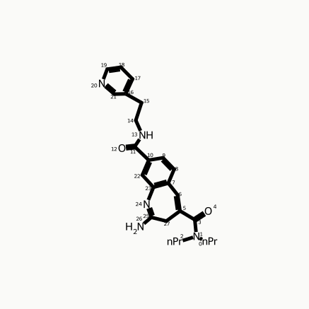 CCCN(CCC)C(=O)C1=Cc2ccc(C(=O)NCCc3cccnc3)cc2N=C(N)C1